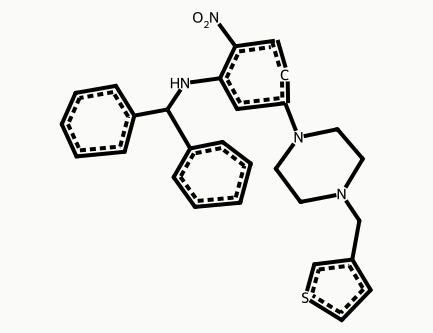 O=[N+]([O-])c1ccc(N2CCN(Cc3ccsc3)CC2)cc1NC(c1ccccc1)c1ccccc1